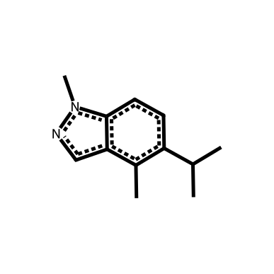 Cc1c(C(C)C)ccc2c1cnn2C